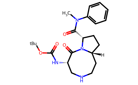 CN(C(=O)[C@@H]1CC[C@@H]2CCNC[C@H](NC(=O)OC(C)(C)C)C(=O)N21)c1ccccc1